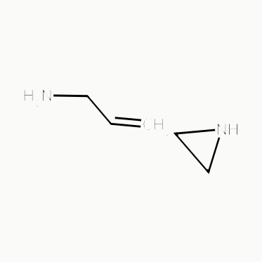 C1CN1.C=CCN